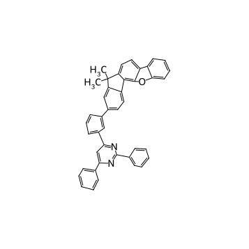 CC1(C)c2cc(-c3cccc(-c4cc(-c5ccccc5)nc(-c5ccccc5)n4)c3)ccc2-c2c1ccc1c2oc2ccccc21